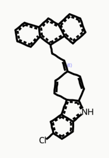 Clc1ccc2[nH]c3c(c2c1)C=C/C(=C\Cc1c2ccccc2cc2ccccc12)C=C3